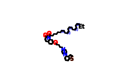 CC/C=C\C/C=C\C/C=C\C/C=C\C/C=C\CCCCCC(=O)n1c(=O)ccc2ccc(OCCCCN3CCN(c4cccc5sccc45)CC3)cc21